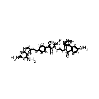 COC(=O)[C@H](CCCNC(=O)c1ccc(N)cc1-c1nnn[nH]1)NC(=O)c1ccc(CCc2cnc3nc(N)nc(N)c3n2)cc1